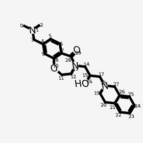 CN(C)Cc1ccc2c(c1)OCCN(CC(O)CN1CCc3ccccc3C1)C2=O